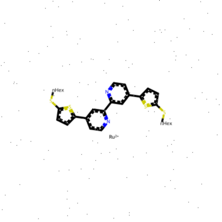 CCCCCCSc1ccc(-c2ccnc(-c3cc(-c4ccc(SCCCCCC)s4)ccn3)c2)s1.[Ru+2]